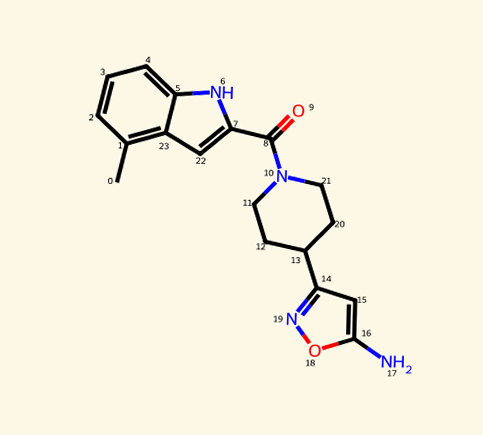 Cc1cccc2[nH]c(C(=O)N3CCC(c4cc(N)on4)CC3)cc12